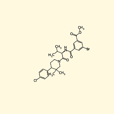 COC(=O)c1cc(Br)cc(C(=O)N[C@@H](C(=O)N2CCC(c3ccc(Cl)cc3)C(C)(C)C2)C(C)C)c1